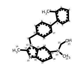 Cc1ccccc1-c1ccc(Cn2c(C)nc3ccc(N(C)CO)cc32)cc1